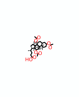 CC(=O)OC1CC[C@@]2(C)C(C1)CC(OC(C)=O)[C@H]1[C@@H]3CC[C@H]([C@H](C)CCC(=O)O)[C@@]3(C)C(OC(C)=O)C[C@@H]12